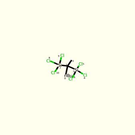 CCCCC(C)([Si](Cl)(Cl)Cl)[Si](Cl)(Cl)Cl